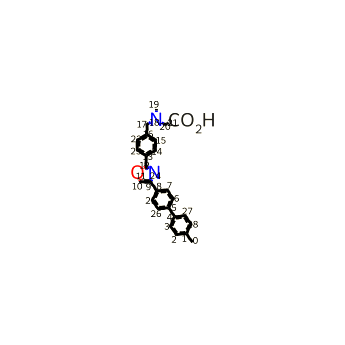 Cc1ccc(-c2ccc(-c3coc(-c4ccc(CN(C)CC(=O)O)cc4)n3)cc2)cc1